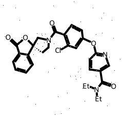 CCN(CC)C(=O)c1ccc(Oc2ccc(C(=O)N3CC[C@@]4(C3)OC(=O)c3ccccc34)c(Cl)c2)nc1